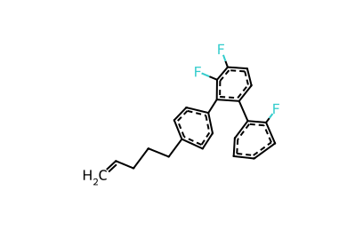 C=CCCCc1ccc(-c2c(-c3ccccc3F)ccc(F)c2F)cc1